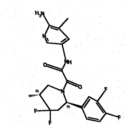 Cc1cc(NC(=O)C(=O)N2C[C@@H](C)C(F)(F)C[C@@H]2c2ccc(F)c(F)c2)cnc1N